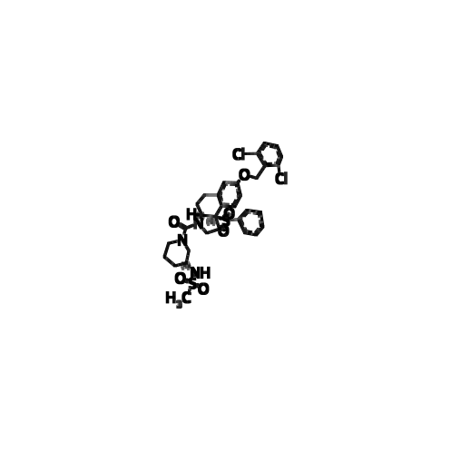 CS(=O)(=O)N[C@@H]1CCCN(C(=O)N2CC[C@@]3(S(=O)(=O)c4ccccc4)c4ccc(OCc5c(Cl)cccc5Cl)cc4CC[C@@H]23)C1